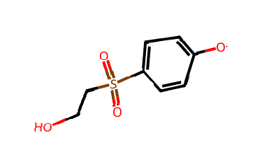 [O]c1ccc(S(=O)(=O)CCO)cc1